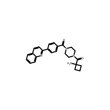 NC1(C(=O)N2CCN(C(=O)c3ccc(-c4ccc5ccccc5n4)cc3)CC2)CCC1